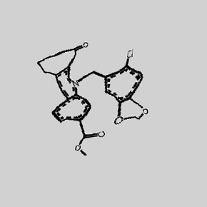 COC(=O)c1ccc2c3c(n(Cc4cc5c(cc4Cl)OCO5)c2c1)C(=O)CCC3